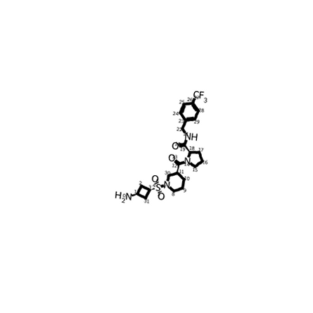 N[C@H]1C[C@H](S(=O)(=O)N2CCC[C@H](C(=O)N3CCC[C@@H]3C(=O)NCc3ccc(C(F)(F)F)cc3)C2)C1